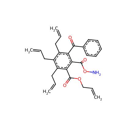 C=CCOC(=O)c1c(CC=C)c(CC=C)c(CC=C)c(C(=O)c2ccccc2)c1C(=O)ON